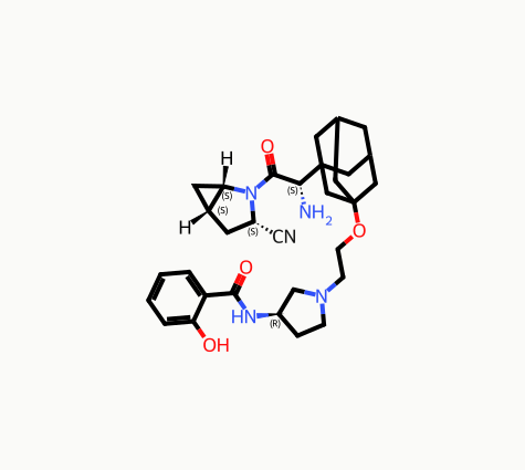 N#C[C@@H]1C[C@@H]2C[C@@H]2N1C(=O)[C@@H](N)C12CC3CC(CC(OCCN4CC[C@@H](NC(=O)c5ccccc5O)C4)(C3)C1)C2